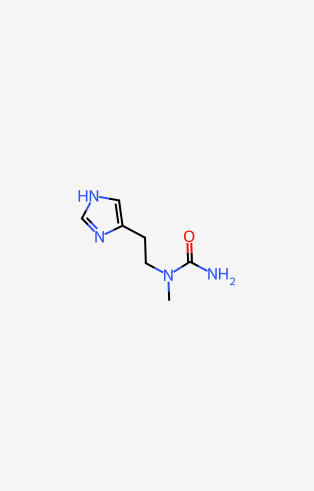 CN(CCc1c[nH]cn1)C(N)=O